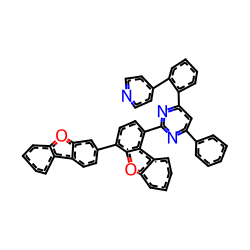 c1ccc(-c2cc(-c3ccccc3-c3ccncc3)nc(-c3ccc(-c4ccc5c(c4)oc4ccccc45)c4oc5ccccc5c34)n2)cc1